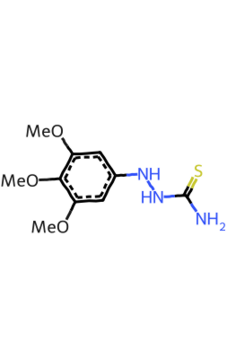 COc1cc(NNC(N)=S)cc(OC)c1OC